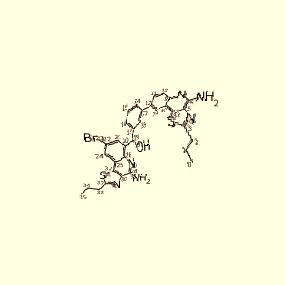 CCCc1nc2c(N)nc3ccc(-c4cccc(C(O)c5cc(Br)cc6c5nc(N)c5nc(CCC)sc56)c4)cc3c2s1